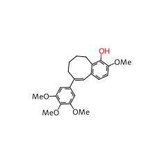 COc1ccc2c(c1O)CCCCC(c1cc(OC)c(OC)c(OC)c1)=C2